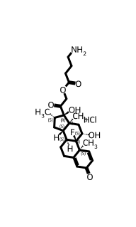 C[C@H]1C[C@H]2[C@@H]3CCC4=CC(=O)C=C[C@]4(C)[C@@]3(F)[C@@H](O)C[C@]2(C)[C@@]1(O)C(=O)COC(=O)CCCN.Cl